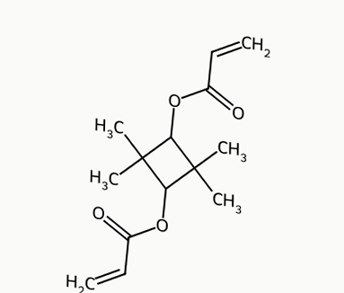 C=CC(=O)OC1C(C)(C)C(OC(=O)C=C)C1(C)C